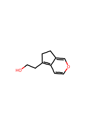 OCCC1=C2C=COC=C2CC1